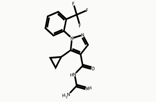 N=C(N)NC(=O)c1cnn(-c2ccccc2C(F)(F)F)c1C1CC1